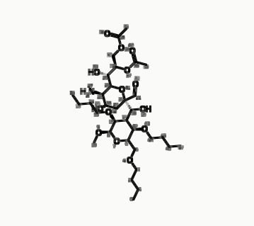 CCCCOCC1O[C@@H](OC)[C@@H](OCCCC)C(C(O)[C@]2(C=O)C[C@@H](O)[C@@H](N)C([C@H](O)[C@@H](COC(C)=O)OC(C)=O)O2)[C@H]1OCCCC